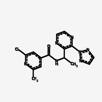 CC(NC(=O)c1cc(Cl)nc(C(F)(F)F)c1)c1nccnc1-n1nccn1